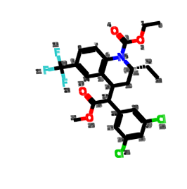 CCOC(=O)N1c2ccc(C(F)(F)F)cc2C(C(C(=O)OC)c2cc(Cl)cc(Cl)c2)C[C@H]1CC